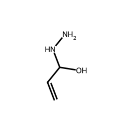 C=CC(O)NN